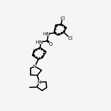 CC1CCCN1C1CCN(c2ccc(NC(=O)Nc3cc(Cl)cc(Cl)c3)cc2)C1